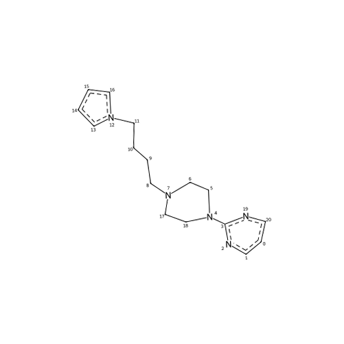 c1cnc(N2CCN(CCCCn3cccc3)CC2)nc1